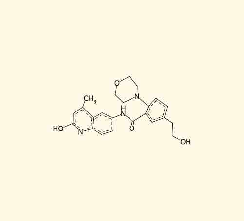 Cc1cc(O)nc2ccc(NC(=O)c3cc(CCO)ccc3N3CCOCC3)cc12